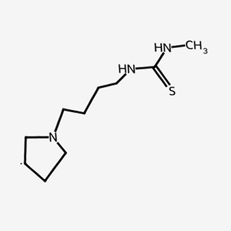 CNC(=S)NCCCCN1C[CH]CC1